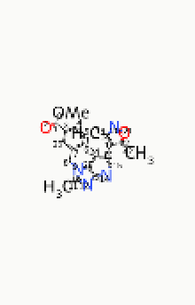 COC(=O)c1cccc(Cn2c(C)nc3ncc(-c4c(C)noc4C)cc32)c1